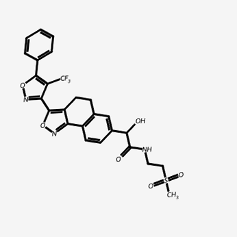 CS(=O)(=O)CCNC(=O)C(O)c1ccc2c(c1)CCc1c-2noc1-c1noc(-c2ccccc2)c1C(F)(F)F